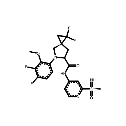 COc1c(N2C[C@@]3(CC2C(=O)Nc2ccnc([S@](C)(=N)=O)c2)CC3(F)F)ccc(F)c1F